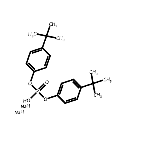 CC(C)(C)c1ccc(OP(=O)(O)Oc2ccc(C(C)(C)C)cc2)cc1.[NaH].[NaH]